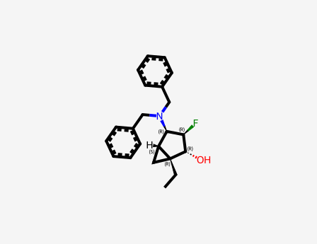 CC[C@@]12C[C@@H]1[C@@H](N(Cc1ccccc1)Cc1ccccc1)[C@@H](F)[C@@H]2O